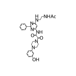 CC(=O)NCCNc1cc(NC(=O)C(=O)N2CCN(c3cccc(O)c3)CC2)nc(-c2ccccc2)n1